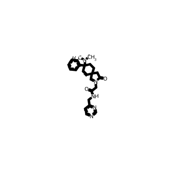 CN(C)C1(c2ccccc2)CCC2(CC1)CC(=O)N(CC(=O)NCc1ccncn1)C2